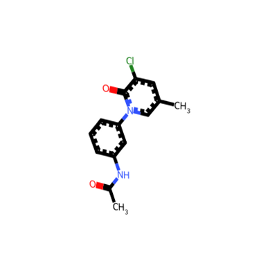 CC(=O)Nc1cccc(-n2cc(C)cc(Cl)c2=O)c1